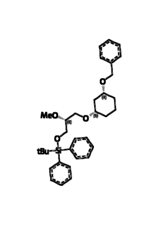 CO[C@H](CO[C@H]1CCC[C@@H](OCc2ccccc2)C1)CO[Si](c1ccccc1)(c1ccccc1)C(C)(C)C